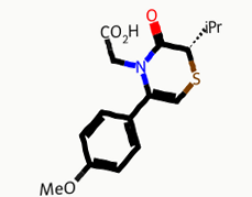 COc1ccc(C2=CS[C@@H](C(C)C)C(=O)N2CC(=O)O)cc1